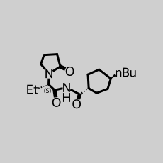 CCCC[C@H]1CC[C@H](C(=O)NC(=O)[C@H](CC)N2CCCC2=O)CC1